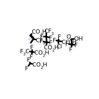 C/C(=C/C(=O)O)C(F)(F)F.O=C(O)C(F)(F)C(F)(F)C(F)(F)F.O=C(O)C(F)(F)C(F)(F)F.O=C(O)C(F)(F)Cl.O=C(O)C(F)(F)F.O=C(O)C(F)F